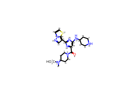 CN(C(=O)O)C1CCN(C(=O)c2cc(NC3CCNCC3)nc(-c3cnn4ccsc34)n2)CC1